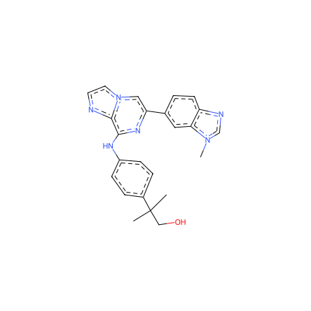 Cn1cnc2ccc(-c3cn4ccnc4c(Nc4ccc(C(C)(C)CO)cc4)n3)cc21